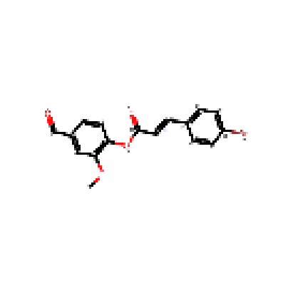 COc1cc(C=O)ccc1OC(=O)/C=C/c1ccc(Br)cc1